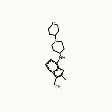 FC(F)(F)Cc1c(I)sc2c(NC3CCN(C4CCOCC4)CC3)cccc12